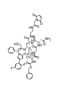 CC(C)(C)[C@H](c1cc(-c2cc(F)ccc2F)cn1Cc1ccccc1)N(CC[C@H](NC(=O)[C@H](CC(N)=O)NC(=O)CNC(=O)CNC(=O)OCc1ccccc1)C(=O)NCCNC(=O)CN1C(=O)C=CC1=O)C(=O)CO